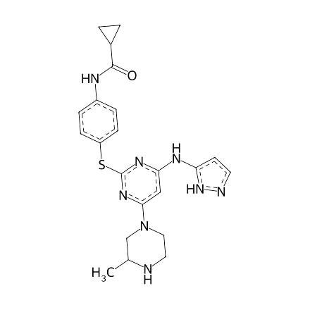 CC1CN(c2cc(Nc3ccn[nH]3)nc(Sc3ccc(NC(=O)C4CC4)cc3)n2)CCN1